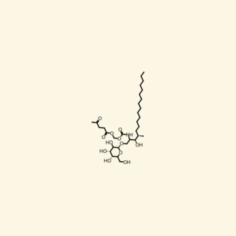 CCCCCCCCCCCCCC[C@@H](C)[C@@H](O)C(CO[C@H]1OC(CO)[C@H](O)[C@H](O)C1O)NC(=O)OCOC(=O)CCC(C)=O